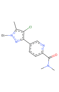 CCn1nc(-c2ccc(C(=O)N(C)C)nc2)c(Cl)c1C